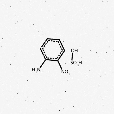 Nc1ccccc1[N+](=O)[O-].O=S(=O)(O)O